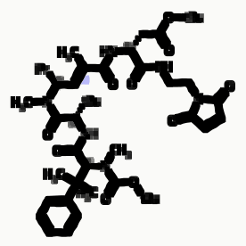 C/C(=C\[C@H](C(C)C)N(C)C(=O)[C@@H](NC(=O)[C@@H](N(C)C(=O)OC(C)(C)C)C(C)(C)c1ccccc1)C(C)(C)C)C(=O)N[C@H](CC(=O)OC(C)(C)C)C(=O)NCCN1C(=O)C=CC1=O